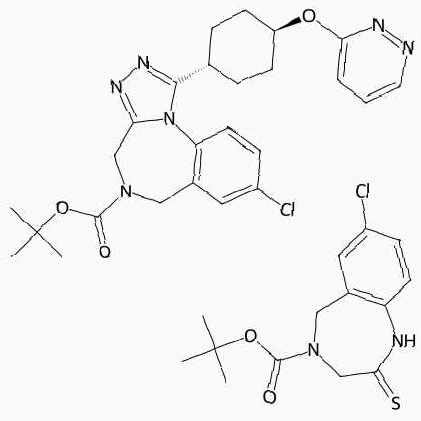 CC(C)(C)OC(=O)N1CC(=S)Nc2ccc(Cl)cc2C1.CC(C)(C)OC(=O)N1Cc2cc(Cl)ccc2-n2c(nnc2[C@H]2CC[C@H](Oc3cccnn3)CC2)C1